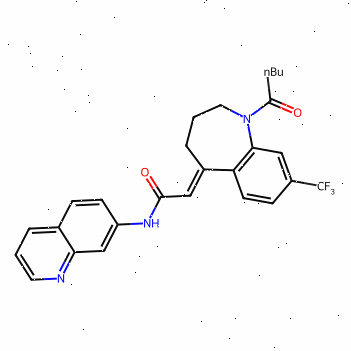 CCCCC(=O)N1CCCC(=CC(=O)Nc2ccc3cccnc3c2)c2ccc(C(F)(F)F)cc21